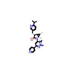 CC/C(=C\C(=N/NC)c1ccncc1)N1C(=O)[C@H](Cc2ccc(C(C)C)nc2)C2[C@H](C)[C@]21C